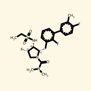 CCS(=O)(=O)N[C@H]1[C@@H](F)CN(C(=O)N(C)C)[C@H]1Cc1cccc(-c2ccc(F)c(C)c2)c1F